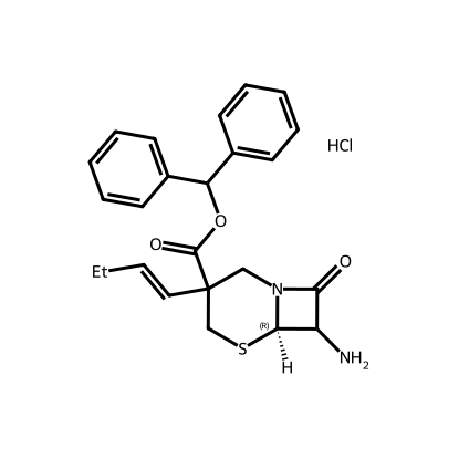 CCC=CC1(C(=O)OC(c2ccccc2)c2ccccc2)CS[C@@H]2C(N)C(=O)N2C1.Cl